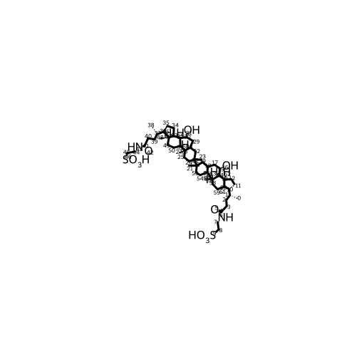 C[C@H](CCC(=O)NCCS(=O)(=O)O)[C@H]1CC[C@H]2[C@@H]3[C@@H](O)CC4CC(C)(C5(C)CC[C@@]6(C)C(C[C@H](O)[C@H]7[C@@H]8CC[C@H]([C@@H](C)CCC(=O)NCCS(=O)(=O)O)[C@@]8(C)CC[C@@H]76)C5)CC[C@]4(C)[C@H]3CC[C@]12C